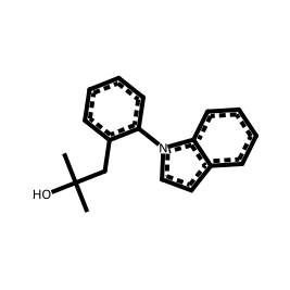 CC(C)(O)Cc1ccccc1-n1ccc2ccccc21